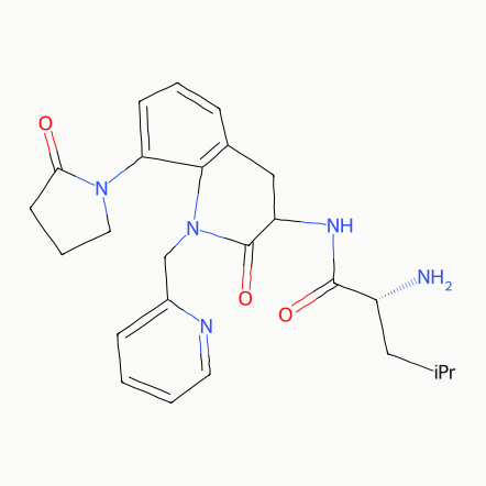 CC(C)C[C@@H](N)C(=O)NC1Cc2cccc(N3CCCC3=O)c2N(Cc2ccccn2)C1=O